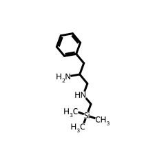 C[Si](C)(C)CNCC(N)Cc1ccccc1